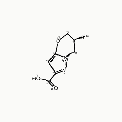 O=C(O)c1cc2n(n1)C[C@H](F)CO2